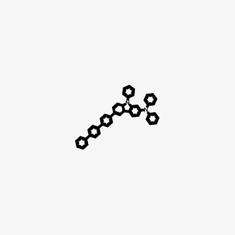 C1=CC2C(C=C1c1ccc(-c3ccc(-c4ccccc4)cc3)cc1)c1ccc(N(c3ccccc3)c3ccccc3)cc1N2c1ccccc1